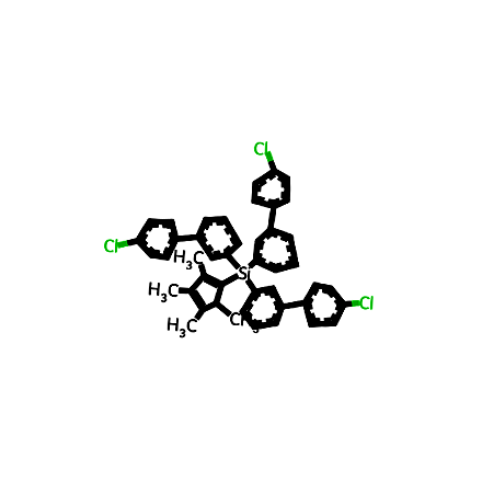 CC1=C(C)C(C)C([Si](c2cccc(-c3ccc(Cl)cc3)c2)(c2cccc(-c3ccc(Cl)cc3)c2)c2cccc(-c3ccc(Cl)cc3)c2)=C1C